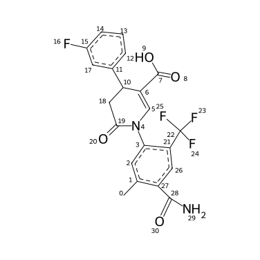 Cc1cc(N2C=C(C(=O)O)C(c3cccc(F)c3)CC2=O)c(C(F)(F)F)cc1C(N)=O